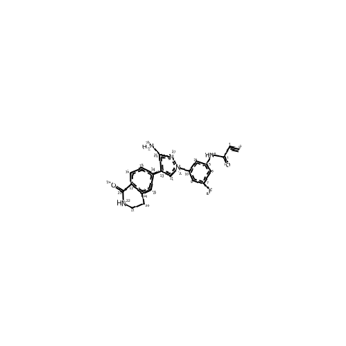 C=CC(=O)Nc1cc(F)cc(-n2cc(-c3ccc4c(c3)CCNC4=O)c(N)n2)c1